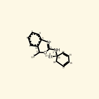 CC[C@@]1(NC2=Nc3ccccc3C(I)O2)C=CC=CC1